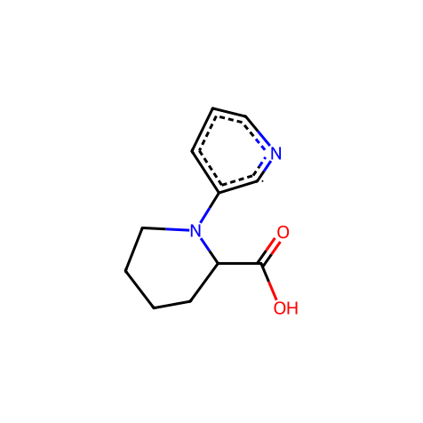 O=C(O)C1CCCCN1c1[c]nccc1